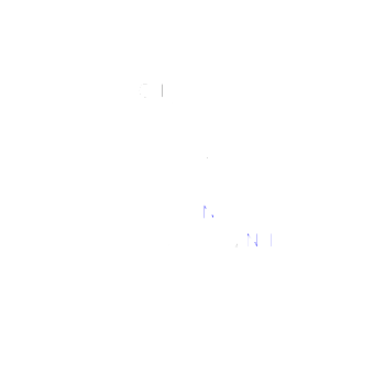 CC1=CN2NC=CC2C=C1